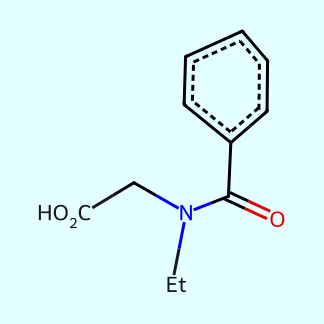 CCN(CC(=O)O)C(=O)c1ccccc1